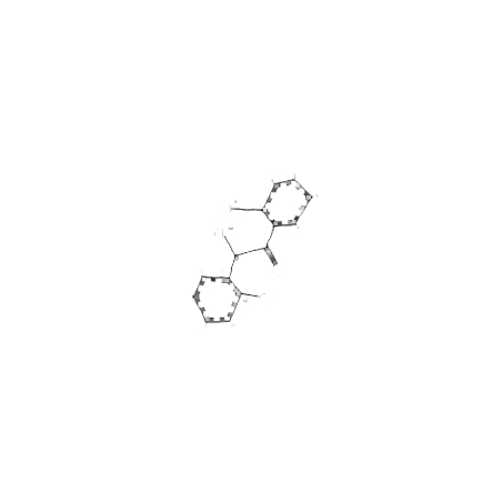 O=C(c1ccccc1Cl)C(Cl)c1ccccc1Cl